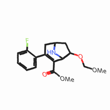 COCOC1CC2CC(c3ccccc3F)=C(C(=O)OC)C1N2